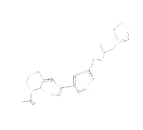 NC(=O)N1CCCc2cc(-c3cncc(CNC(=O)Cn4ccnc4)c3)cnc21